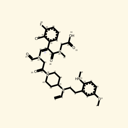 C=CN(CCc1cc(OC)ccc1NC)C1CCN(C(=O)CN(C=O)/C=C(\C(=O)N(C)CC(=O)O)c2cccc(F)c2Cl)CC1